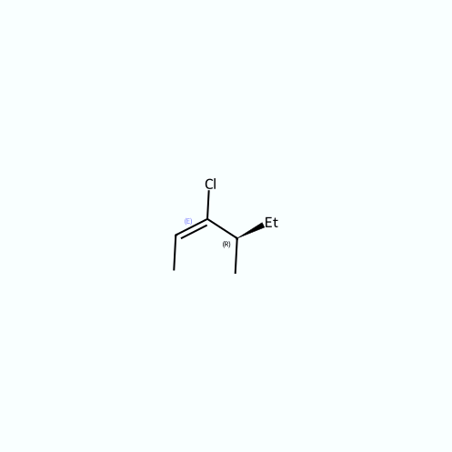 C/C=C(/Cl)[C@H](C)CC